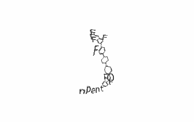 CCCCCc1ccc(C(F)(F)OC2CCC(C3CCC(c4ccc(-c5cc(F)c(C=C(F)F)c(F)c5)c(F)c4)CC3)CC2)cc1